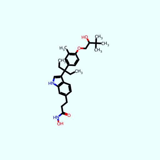 CCC(CC)(c1ccc(OCC(O)C(C)(C)C)c(C)c1)c1c[nH]c2cc(CCC(=O)NO)ccc12